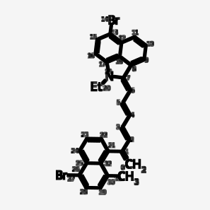 C=C(/C=C/C=C/C=c1/c2cccc3c(Br)ccc(c32)n1CC)c1cccc2c(Br)ccc(C)c12